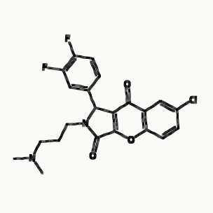 CN(C)CCCN1C(=O)c2oc3ccc(Cl)cc3c(=O)c2C1c1ccc(F)c(F)c1